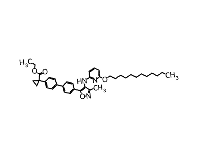 CCCCCCCCCCCCOc1cccc(Nc2c(C)noc2-c2ccc(-c3ccc(C4(C(=O)OCC)CC4)cc3)cc2)n1